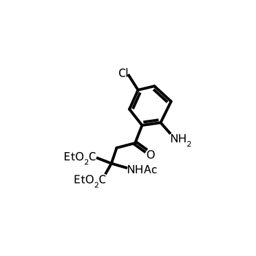 CCOC(=O)C(CC(=O)c1cc(Cl)ccc1N)(NC(C)=O)C(=O)OCC